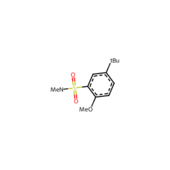 CNS(=O)(=O)c1cc(C(C)(C)C)ccc1OC